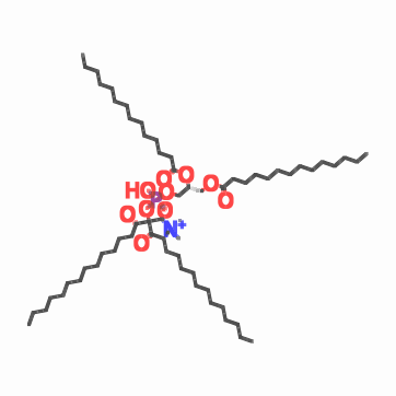 CCCCCCCCCCCCCC(=O)OC[C@H](COP(=O)(O)OC(C[N+](C)(C)C)(C(=O)CCCCCCCCCCCCC)C(=O)CCCCCCCCCCCCC)OC(=O)CCCCCCCCCCCCC